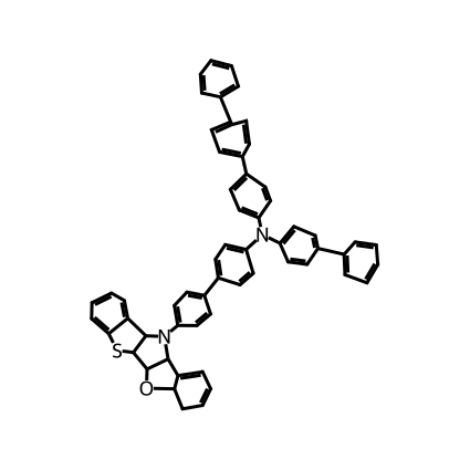 C1=CCC2OC3C4Sc5ccccc5C4N(c4ccc(-c5ccc(N(c6ccc(-c7ccccc7)cc6)c6ccc(-c7ccc(-c8ccccc8)cc7)cc6)cc5)cc4)C3C2=C1